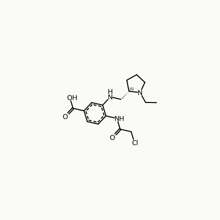 CCN1CCC[C@H]1CNc1cc(C(=O)O)ccc1NC(=O)CCl